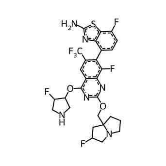 Nc1nc2c(-c3c(C(F)(F)F)cc4c(OC5CNCC5F)nc(OCC56CCCN5CC(F)C6)nc4c3F)ccc(F)c2s1